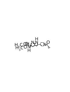 CC(C)(C)OC(=O)Nc1cnc2[nH]c(C3=CCN(C(=O)C4CC4)CC3)cc2c1